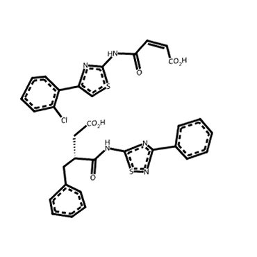 O=C(O)/C=C\C(=O)Nc1nc(-c2ccccc2Cl)cs1.O=C(O)C[C@@H](Cc1ccccc1)C(=O)Nc1nc(-c2ccccc2)ns1